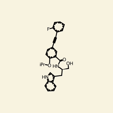 CC(C)Oc1ccc(C#Cc2ccccc2F)cc1C(=O)N[C@@H](CO)Cc1c[nH]c2ccccc12